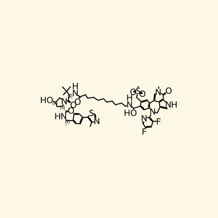 Cc1ncsc1-c1ccc([C@H](C)NC(=O)[C@@H]2C[C@@H](O)CN2C(=O)[C@@H](NC(=O)CCCCCCCCCCNC(O)c2cc3c(cc2CS(C)(=O)=O)-c2cn(C)c(=O)c4[nH]cc(c24)CN3c2ncc(F)cc2F)C(C)(C)C)cc1